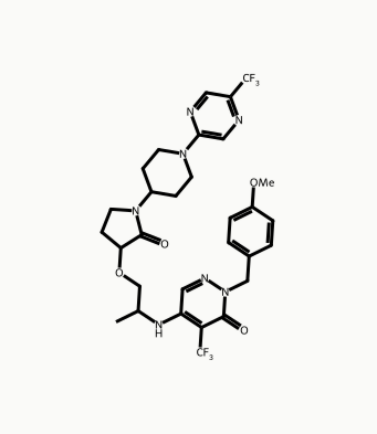 COc1ccc(Cn2ncc(NC(C)COC3CCN(C4CCN(c5cnc(C(F)(F)F)cn5)CC4)C3=O)c(C(F)(F)F)c2=O)cc1